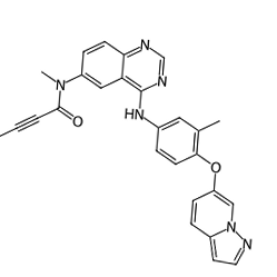 CC#CC(=O)N(C)c1ccc2ncnc(Nc3ccc(Oc4ccc5ccnn5c4)c(C)c3)c2c1